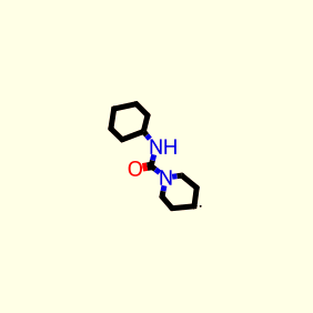 O=C(NC1CCCCC1)N1CC[CH]CC1